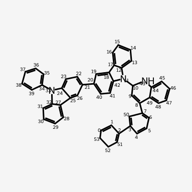 C1=CC(c2cccc(C3=CC(n4c5ccccc5c5cc(-c6ccc7c(c6)c6ccccc6n7-c6ccccc6)ccc54)Nc4ccccc43)c2)=CCC1